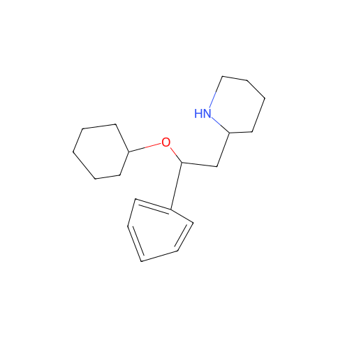 c1ccc(C(CC2CCCCN2)OC2CCCCC2)cc1